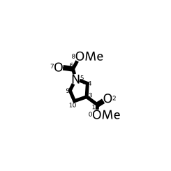 COC(=O)C1[CH]N(C(=O)OC)CC1